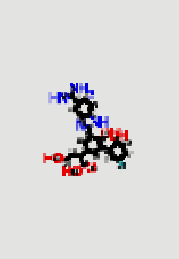 N=C(N)c1ccc2[nH]c(-c3cc(C(CCO)C(=O)O)cc(-c4cc(F)ccc4O)c3O)nc2c1